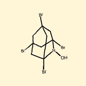 ON1C2(Br)CC3(Br)CC(Br)(C2)CC1(Br)C3